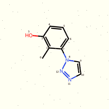 Cc1c(O)cccc1-n1ccnn1